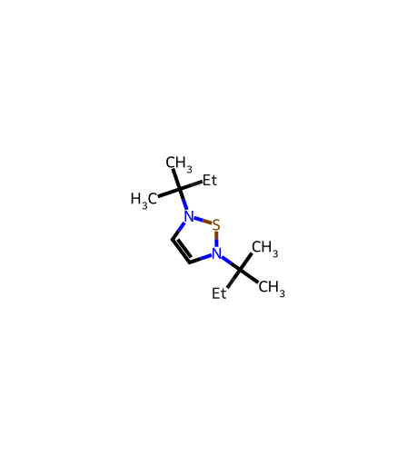 CCC(C)(C)N1C=CN(C(C)(C)CC)S1